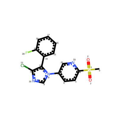 CS(=O)(=O)c1ccc(-n2cnc(Cl)c2-c2ccccc2F)cn1